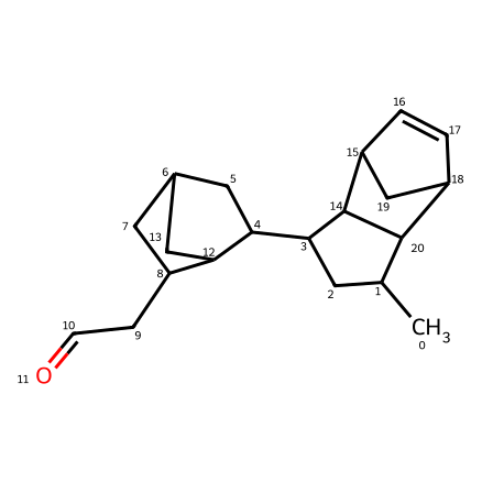 CC1CC(C2CC3CC(CC=O)C2C3)C2C3C=CC(C3)C12